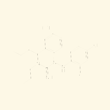 CCCC(c1ccccc1)N(CCC)C(=N)NNc1ccc(Cl)cc1Cl.Cl